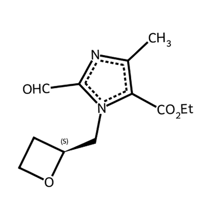 CCOC(=O)c1c(C)nc(C=O)n1C[C@@H]1CCO1